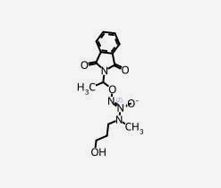 CC(O/N=[N+](\[O-])N(C)CCCO)N1C(=O)c2ccccc2C1=O